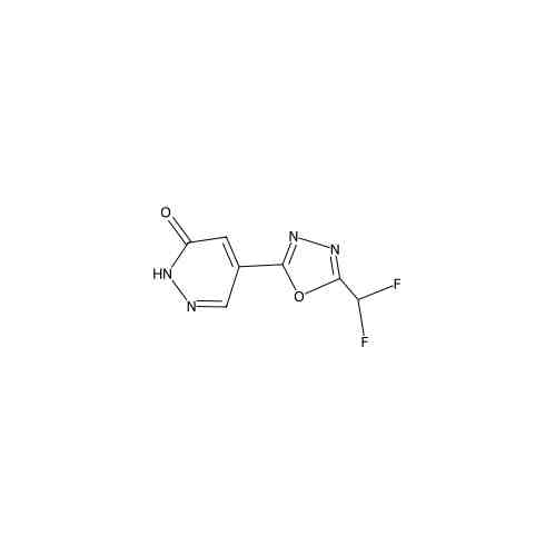 O=c1cc(-c2nnc(C(F)F)o2)cn[nH]1